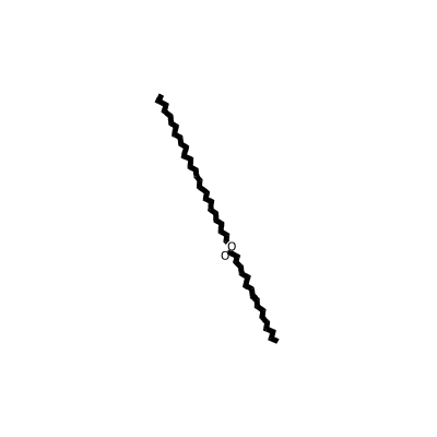 CCCCCCCCC=CCCCCCCCC(=O)OCCCCCCCCCCCCCCCCCCCCCCCCCCCC